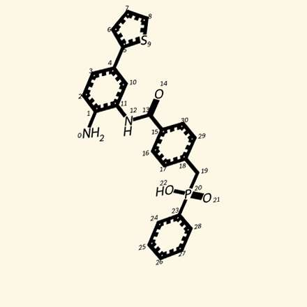 Nc1ccc(-c2cccs2)cc1NC(=O)c1ccc(CP(=O)(O)c2ccccc2)cc1